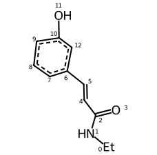 CCNC(=O)C=Cc1cccc(O)c1